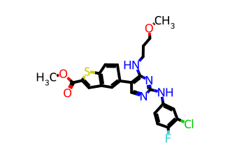 COCCCNc1nc(Nc2ccc(F)c(Cl)c2)ncc1-c1ccc2sc(C(=O)OC)cc2c1